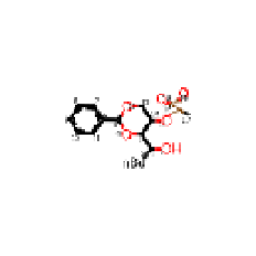 CCCCC(O)C1OC(c2ccccc2)OCC1OS(C)(=O)=O